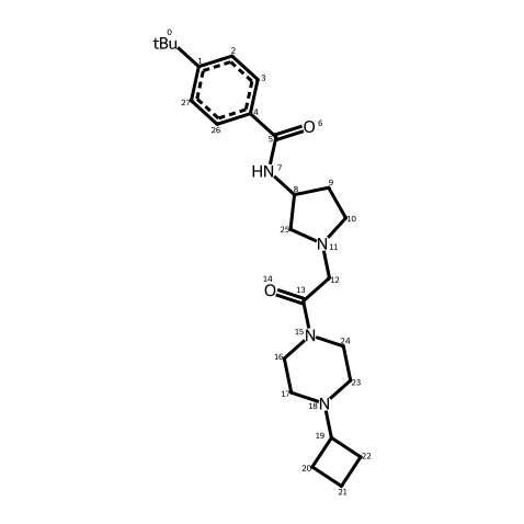 CC(C)(C)c1ccc(C(=O)NC2CCN(CC(=O)N3CCN(C4CCC4)CC3)C2)cc1